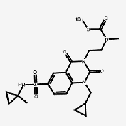 CN(CCn1c(=O)c2cc(S(=O)(=O)NC3(C)CC3)ccc2n(CC2CC2)c1=O)C(=O)OC(C)(C)C